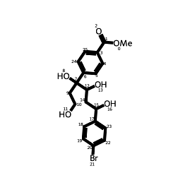 COC(=O)c1ccc(C(O)(CCO)C(O)CC(O)c2ccc(Br)cc2)cc1